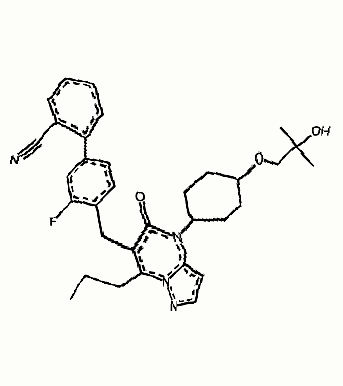 CCCc1c(Cc2ccc(-c3ccccc3C#N)cc2F)c(=O)n(C2CCC(OCC(C)(C)O)CC2)c2ccnn12